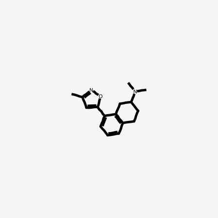 Cc1cc(-c2cccc3c2CC(N(C)C)CC3)on1